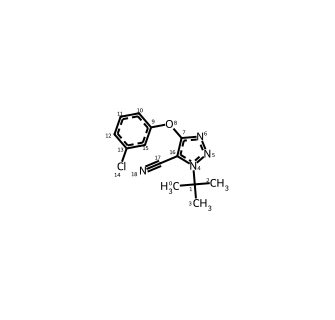 CC(C)(C)n1nnc(Oc2cccc(Cl)c2)c1C#N